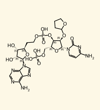 Nc1ccn([C@@H]2O[C@H](COP(=O)(O)O)[C@@H](OP(=O)(O)OCC[C@H]3O[C@@H](n4cnc5c(N)ncnc54)[C@H](O)[C@@H]3O)[C@H]2OC2CCCO2)c(=O)n1